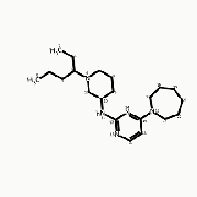 CCCC(CC)N1CCCC(Nc2nccc(N3CCCCCC3)n2)C1